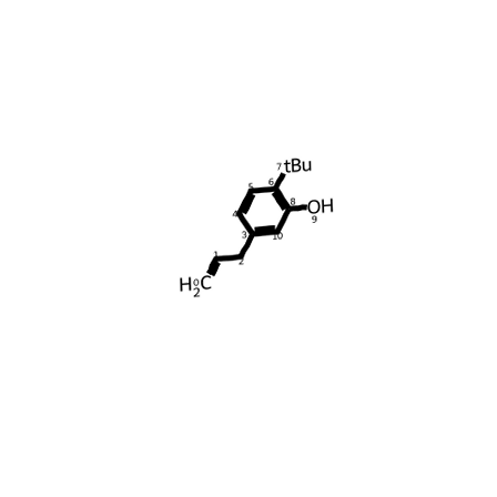 C=CCc1ccc(C(C)(C)C)c(O)c1